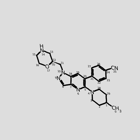 CC1CCN(c2nc3cnn(C[C@@H]4CNCCO4)c3cc2-c2ccc(C#N)cc2)CC1